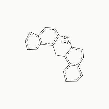 O=C(O)c1ccc2ccccc2c1Cc1c(O)ccc2ccccc12